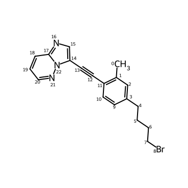 Cc1cc(CCCCBr)ccc1C#Cc1cnc2cccnn12